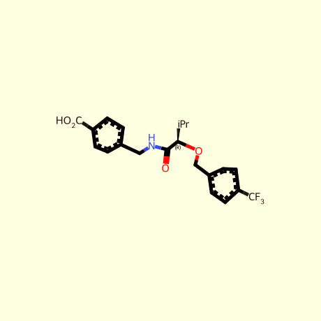 CC(C)[C@@H](OCc1ccc(C(F)(F)F)cc1)C(=O)NCc1ccc(C(=O)O)cc1